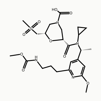 COC(=O)NCCCc1cc([C@@H](C)N(C(=O)[C@H]2CN(C(=O)O)C[C@@H](CS(C)(=O)=O)O2)C2CC2)cc(OC)n1